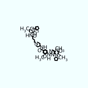 CC[C@@H]1C(=O)N(C)c2cnc(Nc3ccc(C(=O)NC4CCN(CCCC(=O)N[C@@H](CC(C)C)C(=O)OC5CCCC5)CC4)cc3OC)nc2N1C1CCCC1